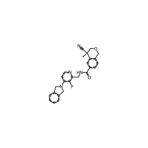 C[C@@]1(C#N)COCc2ccc(C(=O)NCc3nccc(N4Cc5ccccc5C4)c3F)cc21